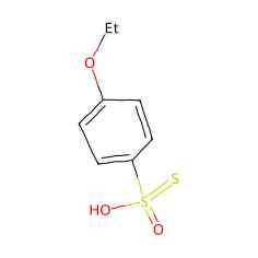 CCOc1ccc(S(=O)(O)=S)cc1